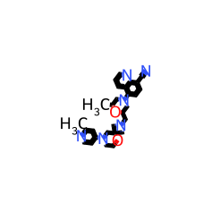 Cc1cc(N2CCOC3(CN(CC4CN(c5ccc(C#N)c6ncccc56)CC(C)O4)C3)C2)ccn1